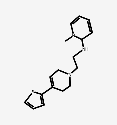 CN1C=CC=CC1NCCN1CC=C(c2cccs2)CC1